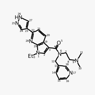 CCn1cc(C(=O)N(CCN(C)C)Cc2cccnc2)c2ccc(-c3cn[nH]c3)nc21